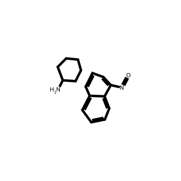 NC1CCCCC1.O=Nc1cccc2ccccc12